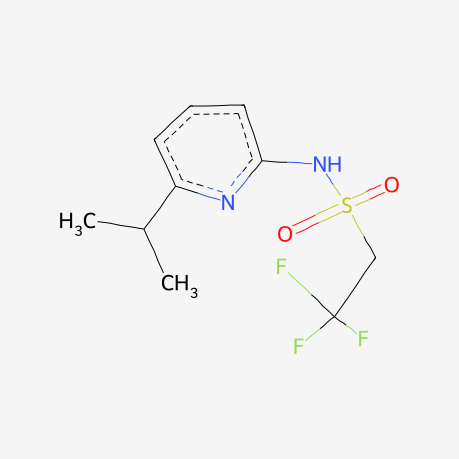 CC(C)c1cccc(NS(=O)(=O)CC(F)(F)F)n1